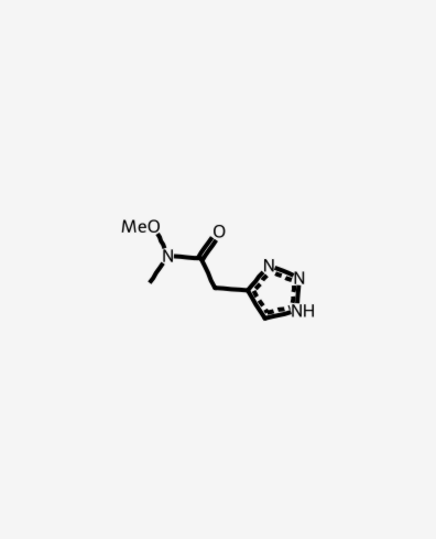 CON(C)C(=O)Cc1c[nH]nn1